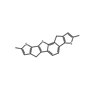 Cc1cc2c(s1)-c1ccc3c4c(sc3c1C2)-c1sc(C)cc1C4